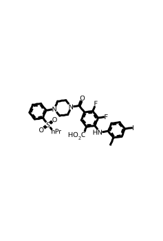 CCCS(=O)(=O)c1ccccc1N1CCN(C(=O)c2cc(C(=O)O)c(Nc3ccc(I)cc3C)c(F)c2F)CC1